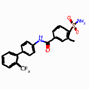 Cc1cc(C(=O)Nc2ccc(-c3ccccc3C(F)(F)F)cc2)ccc1S(N)(=O)=O